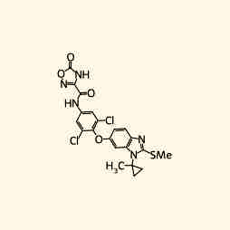 CSc1nc2ccc(Oc3c(Cl)cc(NC(=O)c4noc(=O)[nH]4)cc3Cl)cc2n1C1(C)CC1